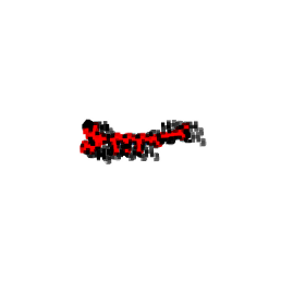 CCO[Si](CCCNC(=O)CCCc1ccc2c(c1)C(C)(C)C(/C=C/c1ccc(/C=C/c3ccc(/C=C/c4ccc(/C=C/c5ccc(N(c6ccc7c(c6)-c6ccccc6C7(C)C)c6ccc7c(c6)C(C)(C)c6ccccc6-7)cc5)c(OCCC(C)C)c4)c(OCC(C)C)c3)c(OCC(C)C)c1)=N2)(OCC)OCC